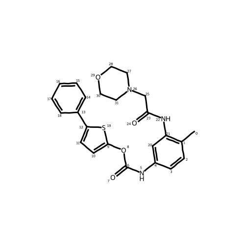 Cc1ccc(NC(=O)Oc2ccc(-c3ccccc3)s2)cc1NC(=O)CN1CCOCC1